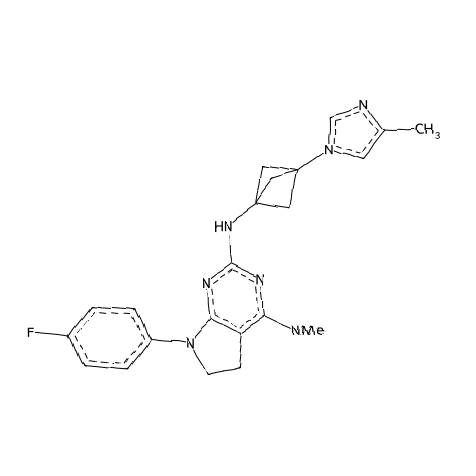 CNc1nc(NC23CC(n4cnc(C)c4)(C2)C3)nc2c1CCN2c1ccc(F)cc1